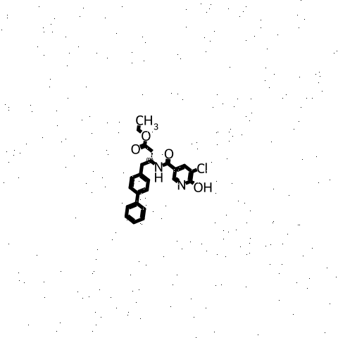 CCOC(=O)C[C@@H](Cc1ccc(-c2ccccc2)cc1)NC(=O)c1cnc(O)c(Cl)c1